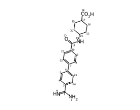 N=C(N)c1ccc(-c2ccc(C(=O)NC3CCC(C(=O)O)CC3)cc2)cc1